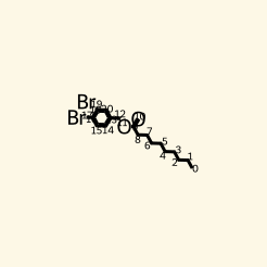 CCCCCCCCCC(=O)OCc1ccc(Br)c(Br)c1